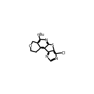 CCCCc1nc2sc3c(Cl)ncnc3c2c2c1COCC2